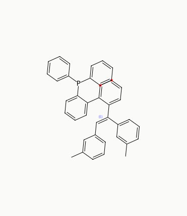 Cc1cccc(/C=C(\c2cccc(C)c2)c2ccccc2-c2ccccc2P(c2ccccc2)c2ccccc2)c1